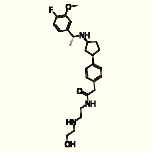 COc1cc([C@@H](C)N[C@H]2CC[C@@H](c3ccc(CC(=O)NCCNCCO)cc3)C2)ccc1F